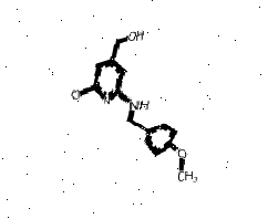 COc1ccc(CNc2cc(CO)cc(Cl)n2)cc1